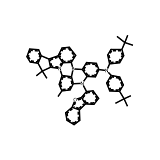 Cc1cc2c3c(c1)-n1c4c(c5cccc(c51)B3c1ccc(N(c3ccc(C(C)(C)C)cc3)c3ccc(C(C)(C)C)cc3)cc1N2c1cccc2c1oc1ccccc12)-c1ccccc1C4(C)C